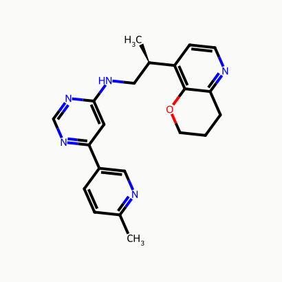 Cc1ccc(-c2cc(NC[C@@H](C)c3ccnc4c3OCCC4)ncn2)cn1